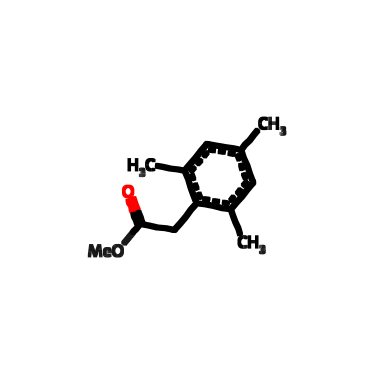 COC(=O)Cc1c(C)cc(C)cc1C